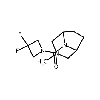 CN1CC2CCC(C1)N2C(=O)N1CC(F)(F)C1